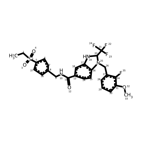 CCS(=O)(=O)c1ccc(CNC(=O)c2ccc3c(c2)NC(C(F)(F)F)N3Cc2cccc(OC)c2F)cc1